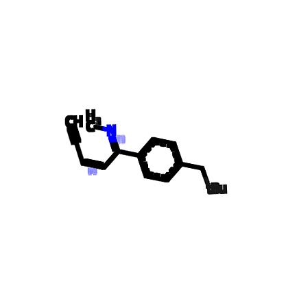 C#C/C=C\C(=N/C)c1ccc(CC(C)(C)C)cc1